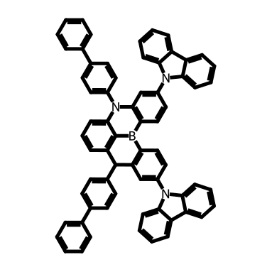 c1ccc(-c2ccc(C3c4cc(-n5c6ccccc6c6ccccc65)ccc4B4c5ccc(-n6c7ccccc7c7ccccc76)cc5N(c5ccc(-c6ccccc6)cc5)c5cccc3c54)cc2)cc1